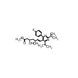 COC(=O)C[C@H](O)C[C@H](O)/C=C/c1c(-c2ccc(F)cc2)nc(N(C)C)nc1C(C)C